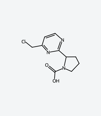 O=C(O)N1CCCC1c1nccc(CCl)n1